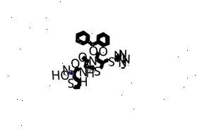 Cn1nnnc1SCC1=C(C(=O)OC(c2ccccc2)c2ccccc2)N2C(=O)[C@@H](NC(=O)/C(=N/O)c3cccs3)[C@H]2SC1